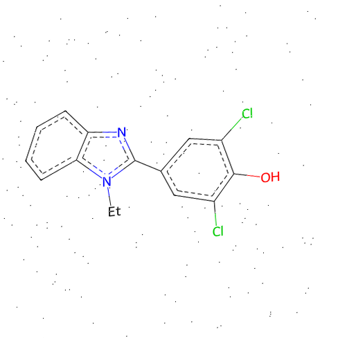 CCn1c(-c2cc(Cl)c(O)c(Cl)c2)nc2ccccc21